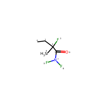 CCC(F)([SiH3])C(=O)N(F)F